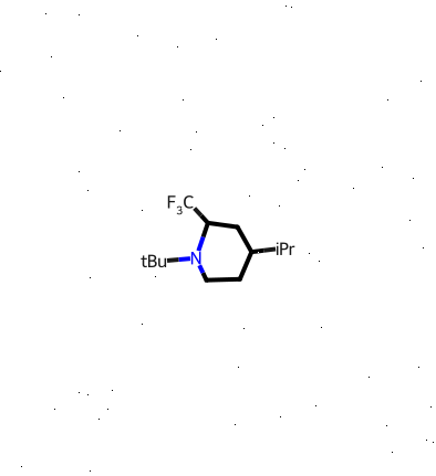 CC(C)C1CCN(C(C)(C)C)C(C(F)(F)F)C1